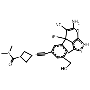 Cc1n[nH]c2c1C(c1cc(C#C[C@H]3C[C@H](C(=O)N(C)C)C3)cc(CO)c1)(C(C)C)C(C#N)=C(N)O2